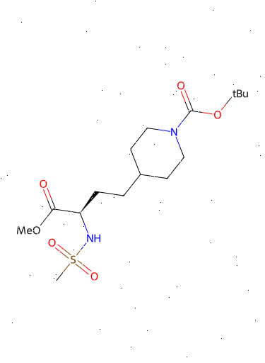 COC(=O)[C@@H](CCC1CCN(C(=O)OC(C)(C)C)CC1)NS(C)(=O)=O